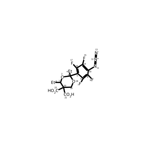 CCC1OC(CC)(c2c(F)c(F)c(N=[N+]=[N-])c(F)c2F)OCC1(C(=O)O)C(=O)O